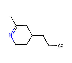 CC(=O)CCC1CCN=C(C)C1